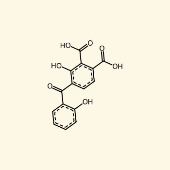 O=C(c1ccccc1O)c1ccc(C(=O)O)c(C(=O)O)c1O